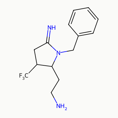 N=C1CC(C(F)(F)F)C(CCN)N1Cc1ccccc1